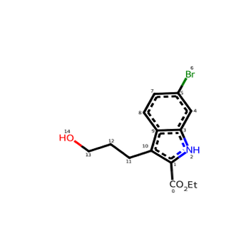 CCOC(=O)c1[nH]c2cc(Br)ccc2c1CCCO